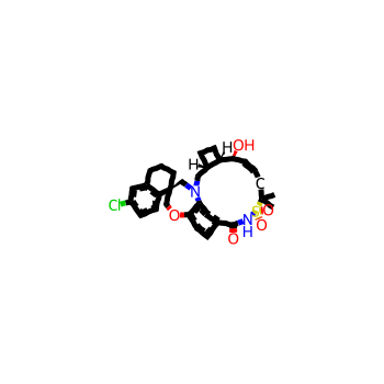 CC1(C)C/C=C\[C@H](O)[C@@H]2CC[C@H]2CN2C[C@@]3(CCCc4cc(Cl)ccc43)COc3ccc(cc32)C(=O)NS1(=O)=O